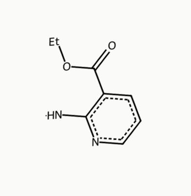 CCOC(=O)c1cccnc1[NH]